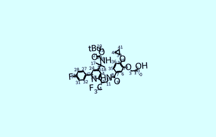 C[C@@H](O)COc1cc(C(=O)NCC(c2cc(C(C)(C)NC(=O)OC(C)(C)C)cc(-c3ccc(F)cc3)n2)C(F)(F)F)ccc1OC1CC1